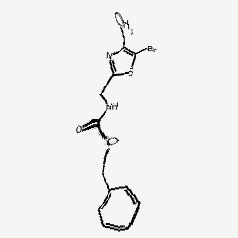 Cc1nc(CNC(=O)OCc2ccccc2)sc1Br